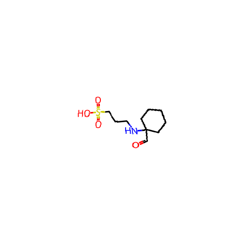 O=CC1(NCCCS(=O)(=O)O)CCCCC1